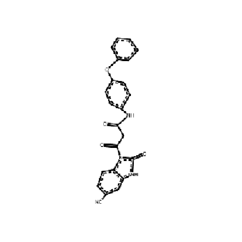 N#Cc1ccc2c(c1)[nH]c(=O)n2C(=O)CC(=O)Nc1ccc(Oc2ccccc2)cc1